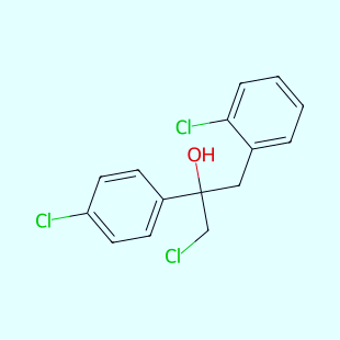 OC(CCl)(Cc1ccccc1Cl)c1ccc(Cl)cc1